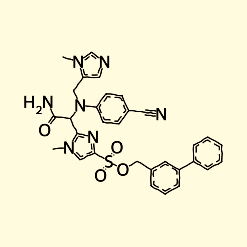 Cn1cncc1CN(c1ccc(C#N)cc1)C(C(N)=O)c1nc(S(=O)(=O)OCc2cccc(-c3ccccc3)c2)cn1C